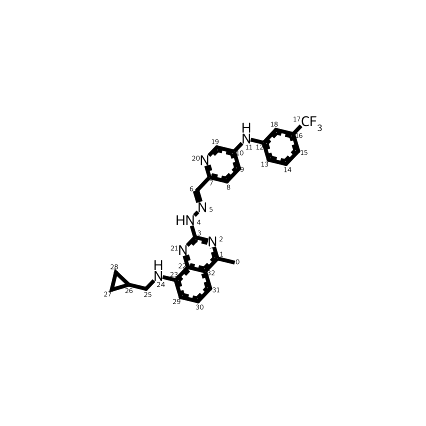 Cc1nc(N/N=C/c2ccc(Nc3cccc(C(F)(F)F)c3)cn2)nc2c(NCC3CC3)cccc12